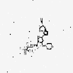 CC(C)(O)[C@H](F)CNC(=O)c1cnc(-c2ccc3cc(C#N)cnn23)cc1NN1CCOCC1